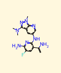 C=C(N)c1cc(F)c(N)nc1Nc1cnc2c(c1)c(N(C)C)nn2C